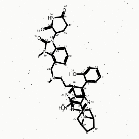 CN(CCCc1cnc(N2C3CCC2CN(c2cc(-c4ccccc4O)nnc2N)C3)nc1)Cc1cccc2c1n(C)c(=O)n2C1CCC(=O)NC1=O